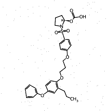 CCCc1cc(Oc2ccccc2)ccc1OCCCOc1ccc(S(=O)(=O)N2CCC[C@H]2OC(=O)O)cc1